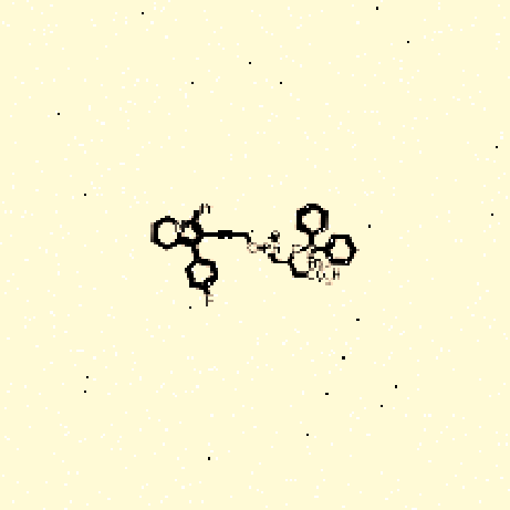 CC(C)c1c(C#CCO[PH](=O)C[C@H](CC(=O)O)O[Si](c2ccccc2)(c2ccccc2)C(C)(C)C)c(-c2ccc(F)cc2)c2n1CCCC2